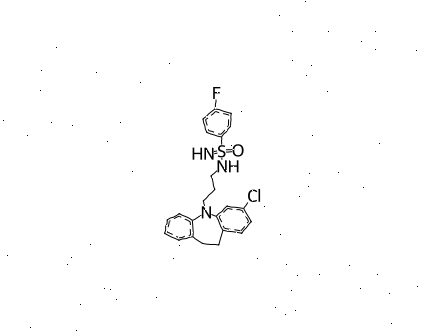 N=S(=O)(NCCCN1c2ccccc2CCc2ccc(Cl)cc21)c1ccc(F)cc1